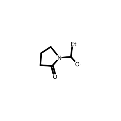 CCC([O])N1CCCC1=O